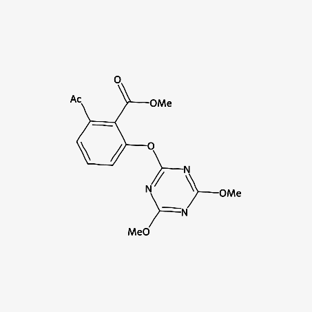 COC(=O)c1c(Oc2nc(OC)nc(OC)n2)cccc1C(C)=O